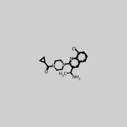 C[C@H](N)c1cc2cccc(Cl)c2nc1N1CCN(C(=O)C2CC2)CC1